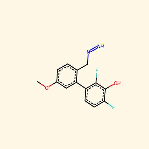 COc1ccc(CN=N)c(-c2ccc(F)c(O)c2F)c1